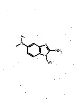 CCCn1c(N)nc2cc(N(C)C(C)=O)ccc21